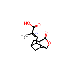 C/C(=C\C1C2CC3C(=O)OC1C3C2)C(=O)O